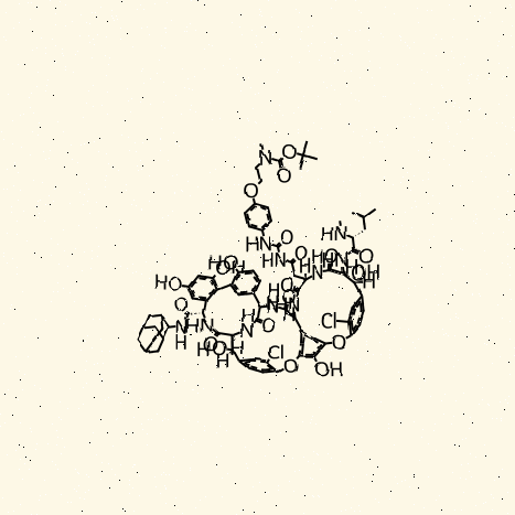 CN[C@H](CC(C)C)C(=O)N[C@H]1C(=O)N[C@@H](CC(=O)NC(=O)Nc2ccc(OCCN(C)C(=O)OC(C)(C)C)cc2)C(=O)N[C@H]2C(=O)N[C@H]3C(=O)N[C@H](C(=O)N[C@H](C(=O)NC4C5CC6CC(C5)CC4C6)c4cc(O)cc(O)c4-c4cc3ccc4O)[C@H](O)c3ccc(c(Cl)c3)Oc3cc2cc(c3O)Oc2ccc(cc2Cl)[C@H]1O